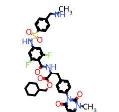 CNCc1ccc(S(=O)(=O)Nc2cc(F)c(C(=O)N[C@@H](Cc3ccc(-n4c(=O)ccn(C)c4=O)cc3)C(=O)OCC3CCCCC3)c(F)c2)cc1